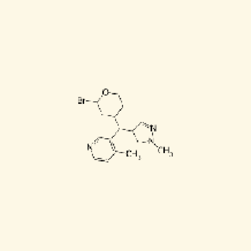 Cc1ccncc1C(C1C=NN(C)C1)C1CCOC(Br)C1